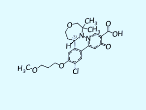 COCCCOc1cc2c(cc1Cl)-c1cc(=O)c(C(=O)O)cn1N1[C@H]2CCOCC1(C)C